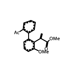 C=C(C(=O)OC)c1c(OC)cccc1-c1ccccc1C(C)=O